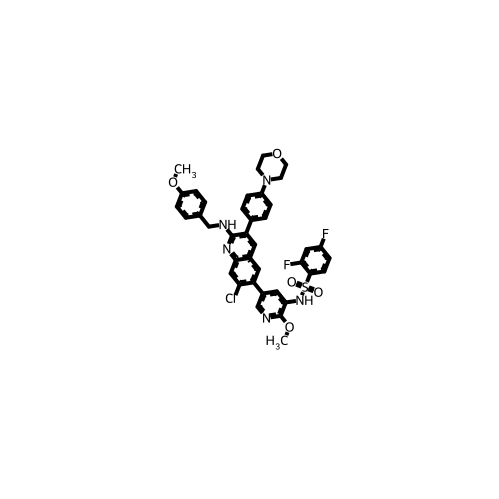 COc1ccc(CNc2nc3cc(Cl)c(-c4cnc(OC)c(NS(=O)(=O)c5ccc(F)cc5F)c4)cc3cc2-c2ccc(N3CCOCC3)cc2)cc1